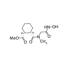 COC(=O)[C@@H]1CCCC[C@@H]1C(=O)N(C)CC(=O)NO